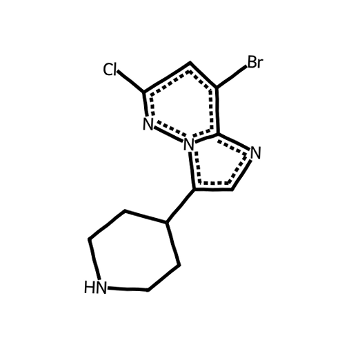 Clc1cc(Br)c2ncc(C3CCNCC3)n2n1